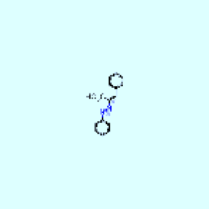 O=C(O)C(=C\c1ccccc1)/N=N/c1ccccc1